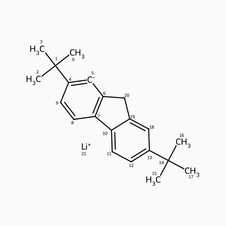 CC(C)(C)c1[c-]c2c(cc1)-c1ccc(C(C)(C)C)cc1C2.[Li+]